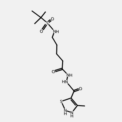 CC1=C(C(=O)NNC(=O)CCCCNS(=O)(=O)C(C)(C)C)SNN1